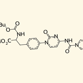 CC(C)(C)OC(=O)NC(Cc1ccc(-n2ccc(NC(=O)n3ccnc3)nc2=O)cc1)C(=O)O